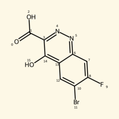 O=C(O)c1nnc2cc(F)c(Br)cc2c1O